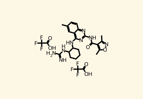 Cc1ccc2nc(NC(=O)c3c(C)noc3C)nc(NC3CCCCC3NC(=N)N)c2c1.O=C(O)C(F)(F)F.O=C(O)C(F)(F)F